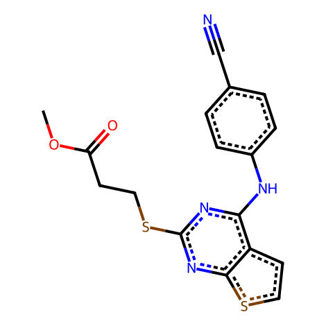 COC(=O)CCSc1nc(Nc2ccc(C#N)cc2)c2ccsc2n1